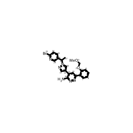 COCOc1ccccc1-c1cc(-c2cnn(C(C)c3ccc(Br)nc3)c2)c(N)nn1